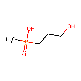 CP(=O)(O)CCCO